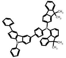 CC1(C)c2ccccc2-c2ccc(N(c3ccc(-c4ccc5c(c4)c4cc(-c6ccccc6)ccc4n5-c4ccccc4)cc3)c3cccc4c3-c3ccccc3C4(C)C)cc21